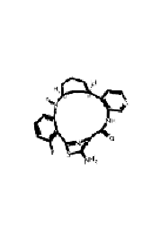 Nc1sc2nc1C(=O)Nc1cnccc1[C@@H]1CCC[C@@H](C1)N(F)c1cccc(F)c1-2